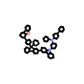 C1=CCCC(C2(c3ccc(-c4cccc5c4oc4ccccc45)cc3)c3ccccc3-c3ccc(-c4ccc5c(c4)c4ccccc4n5-c4cccc(N(c5ccccc5)c5ccc(-c6ccccc6)cc5)c4)cc32)=C1